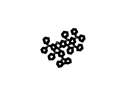 c1ccc(N(c2ccccc2)c2cc3c4c(c2)N(c2ccccc2)c2cc(-n5c6ccccc6c6ccccc65)ccc2B4c2cc4c(cc2O3)N(c2ccccc2)c2cc(N(c3ccccc3)c3ccccc3)cc3c2B4c2ccccc2N3c2ccccc2)cc1